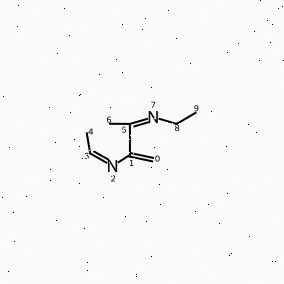 C=C(/N=C\C)/C(C)=N\CC